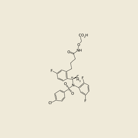 C[C@H](c1ccc(F)cc1CCCC(=O)NOCC(=O)O)N(c1cc(F)ccc1F)S(=O)(=O)c1ccc(Cl)cc1